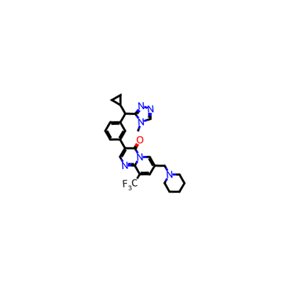 Cn1cnnc1C(c1cccc(-c2cnc3c(C(F)(F)F)cc(CN4CCCCC4)cn3c2=O)c1)C1CC1